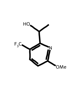 COc1ccc(C(F)(F)F)c(C(C)O)n1